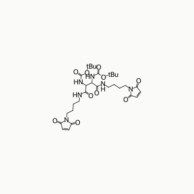 CC(C)(C)OC(=O)NC(C(=O)NCCCCN1C(=O)C=CC1=O)C(NC(=O)OC(C)(C)C)C(=O)NCCCCN1C(=O)C=CC1=O